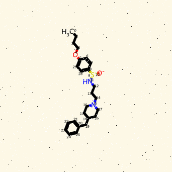 CCCCOc1ccc([S+]([O-])NCCCN2CCC(Cc3ccccc3)CC2)cc1